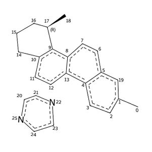 Cc1ccc2c(ccc3c4c(ccc32)CCC[C@H]4C)c1.c1cnccn1